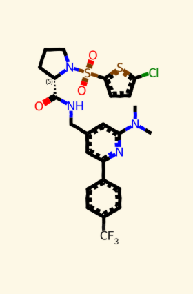 CN(C)c1cc(CNC(=O)[C@@H]2CCCN2S(=O)(=O)c2ccc(Cl)s2)cc(-c2ccc(C(F)(F)F)cc2)n1